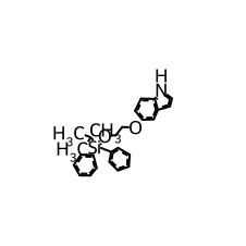 CC(C)(C)[Si](OCCOc1ccc2[nH]ccc2c1)(c1ccccc1)c1ccccc1